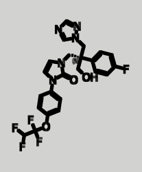 O=c1n(C[C@](CO)(Cn2cncn2)c2ccc(F)cc2)ccn1-c1ccc(OC(F)(F)C(F)F)cc1